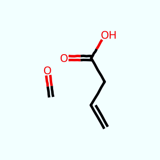 C=CCC(=O)O.C=O